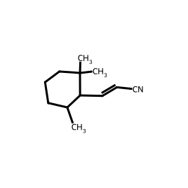 CC1CCCC(C)(C)C1/C=C/C#N